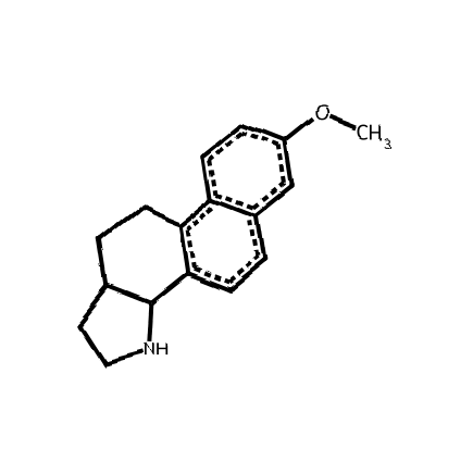 COc1ccc2c3c(ccc2c1)C1NCCC1CC3